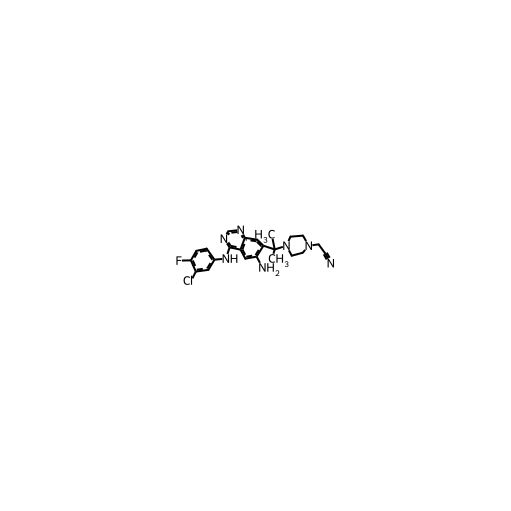 CC(C)(c1cc2ncnc(Nc3ccc(F)c(Cl)c3)c2cc1N)N1CCN(CC#N)CC1